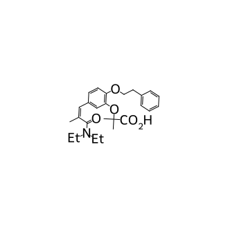 CCN(CC)C(=O)/C(C)=C\c1ccc(OCCc2ccccc2)c(OC(C)(C)C(=O)O)c1